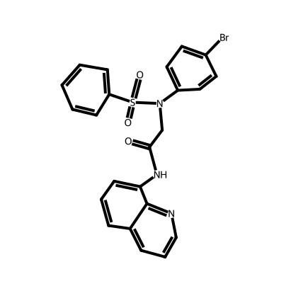 O=C(CN(c1ccc(Br)cc1)S(=O)(=O)c1ccccc1)Nc1cccc2cccnc12